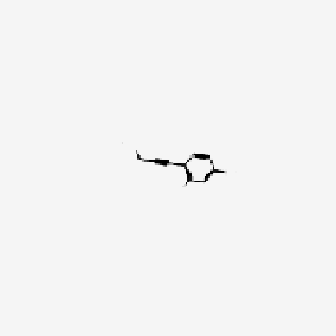 CCCCCCCCC#Cc1ccc(Br)cc1F